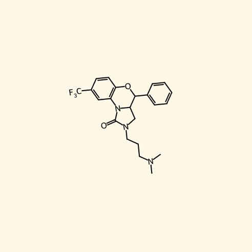 CN(C)CCCN1CC2C(c3ccccc3)Oc3ccc(C(F)(F)F)cc3N2C1=O